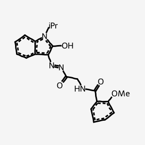 COc1ccccc1C(=O)NCC(=O)/N=N/c1c(O)n(C(C)C)c2ccccc12